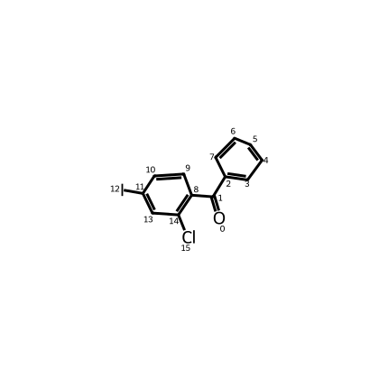 O=C(c1ccccc1)c1ccc(I)cc1Cl